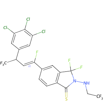 F/C(=C\C(c1cc(Cl)c(Cl)c(Cl)c1)C(F)(F)F)c1ccc2c(c1)C(F)(F)N(NCC(F)(F)F)C2=S